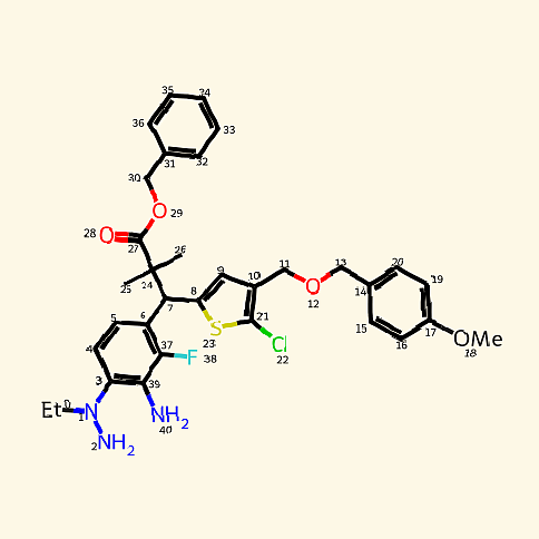 CCN(N)c1ccc(C(c2cc(COCc3ccc(OC)cc3)c(Cl)s2)C(C)(C)C(=O)OCc2ccccc2)c(F)c1N